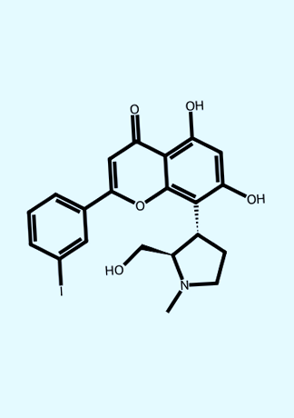 CN1CC[C@@H](c2c(O)cc(O)c3c(=O)cc(-c4cccc(I)c4)oc23)[C@@H]1CO